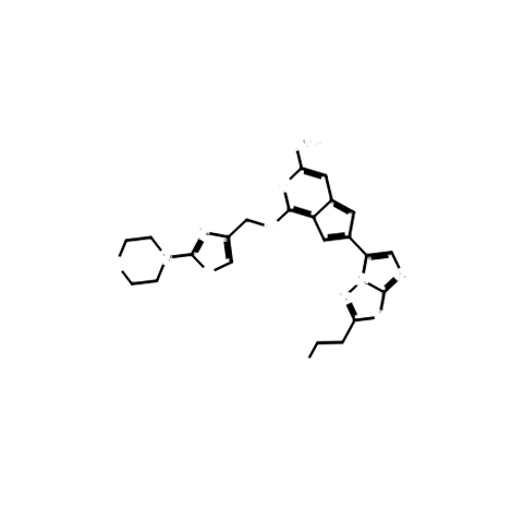 COc1cc2cc(-c3cnc4sc(CCF)nn34)cc-2c(OCc2csc(N3CCOCC3)n2)o1